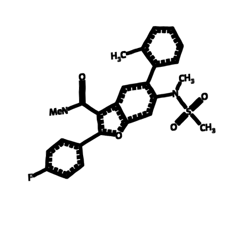 CNC(=O)c1c(-c2ccc(F)cc2)oc2cc(N(C)S(C)(=O)=O)c(-c3ccccc3C)cc12